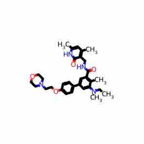 CCN(C)c1cc(-c2ccc(OCCN3CCOCC3)cc2)cc(C(=O)NCc2c(C)cc(C)[nH]c2=O)c1C